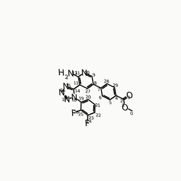 COC(=O)c1ccc(-c2cnc(N)c(-c3nnnn3-c3cccc(F)c3F)c2)cc1